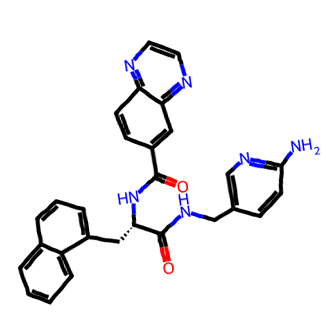 Nc1ccc(CNC(=O)[C@H](Cc2cccc3ccccc23)NC(=O)c2ccc3nccnc3c2)cn1